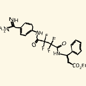 CCOC(=O)CC(NC(=O)C(F)(F)C(F)(F)C(=O)Nc1ccc(C(=N)N)cc1)c1ccccc1